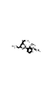 CCC1CC(CC)OB(c2cccc(OC)c2OC)O1